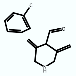 C=C1CNCC(=C)C1C=O.Clc1ccccc1